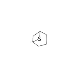 C1C[C]2CC(C1)S2